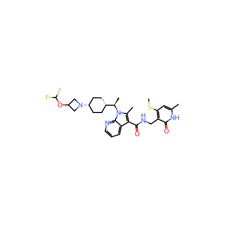 CSc1cc(C)[nH]c(=O)c1CNC(=O)c1c(C)n([C@H](C)[C@H]2CC[C@@H](N3CC(OC(F)F)C3)CC2)c2ncccc12